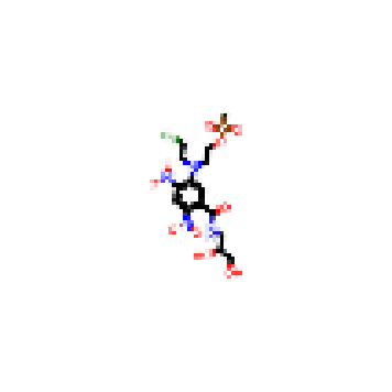 CS(=O)(=O)OCCN(CCBr)c1cc(C(=O)NCC(O)CO)c([N+](=O)[O-])cc1[N+](=O)[O-]